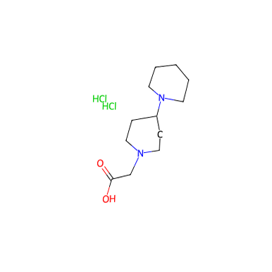 Cl.Cl.O=C(O)CN1CCC(N2CCCCC2)CC1